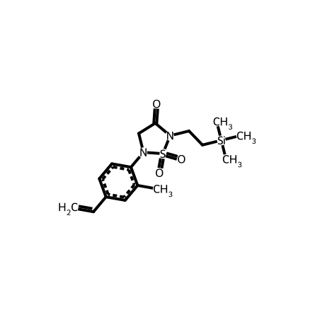 C=Cc1ccc(N2CC(=O)N(CC[Si](C)(C)C)S2(=O)=O)c(C)c1